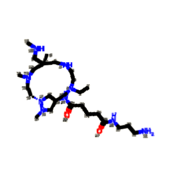 CCN1CCNC[C@@](C)(CNC)CN(C)CC[N@]2C[C@](NC(=O)CCCC(=O)NCCCN)(C1)CN2C